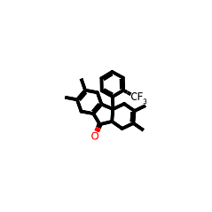 CC1=C(C)CC2=C(C1)C(=O)C1CC(C)=C(C)CC21c1ccccc1C(F)(F)F